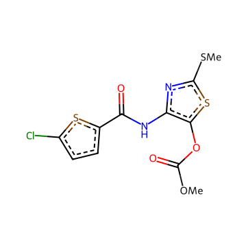 COC(=O)Oc1sc(SC)nc1NC(=O)c1ccc(Cl)s1